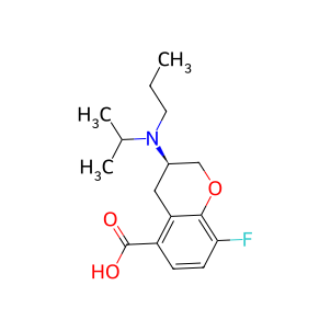 CCCN(C(C)C)[C@H]1COc2c(F)ccc(C(=O)O)c2C1